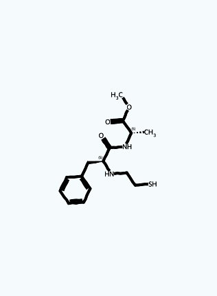 COC(=O)[C@H](C)NC(=O)[C@H](Cc1ccccc1)NCCS